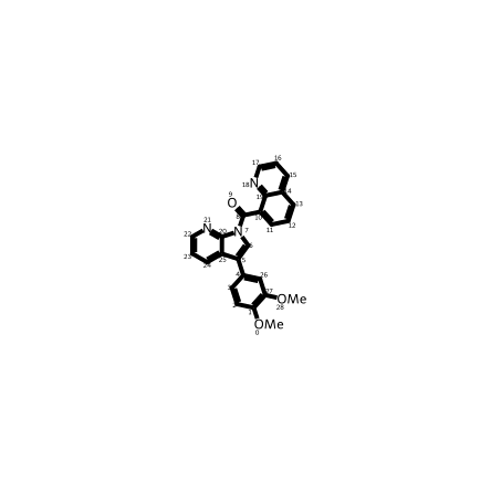 COc1ccc(-c2cn(C(=O)c3cccc4cccnc34)c3ncccc23)cc1OC